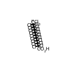 O=C(O)C(Cl)(Cl)C(Cl)(Cl)C(Cl)(Cl)C(Cl)(Cl)C(Cl)(Cl)C(Cl)(Cl)C(Cl)(Cl)C(Cl)(Cl)C(Cl)(Cl)C(Cl)(Cl)Cl